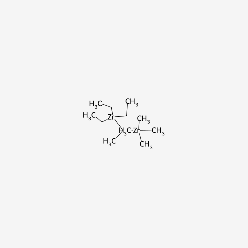 C[CH2][Zr]([CH2]C)([CH2]C)[CH2]C.[CH3][Zr]([CH3])([CH3])[CH3]